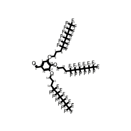 O=Cc1cc(OCCCC(F)(F)C(F)(F)C(F)(F)C(F)(F)C(F)(F)C(F)(F)F)c(OCCCC(F)(F)C(F)(F)C(F)(F)C(F)(F)C(F)(F)C(F)(F)F)c(OCCCC(F)(F)C(F)(F)C(F)(F)C(F)(F)C(F)(F)C(F)(F)F)c1